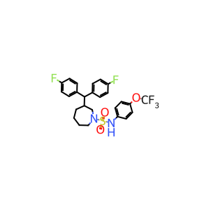 O=S(=O)(Nc1ccc(OC(F)(F)F)cc1)N1CCCCC(C(c2ccc(F)cc2)c2ccc(F)cc2)C1